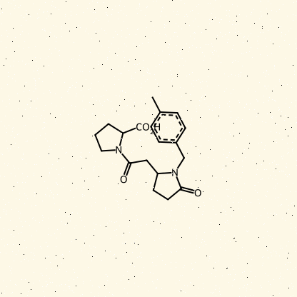 Cc1ccc(CN2C(=O)CCC2CC(=O)N2CCCC2C(=O)O)cc1